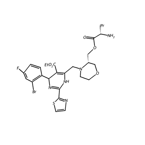 CCOC(=O)C1=C(CN2CCOC[C@H]2COC(=O)[C@@H](N)C(C)C)NC(c2nccs2)=NC1c1ccc(F)cc1Br